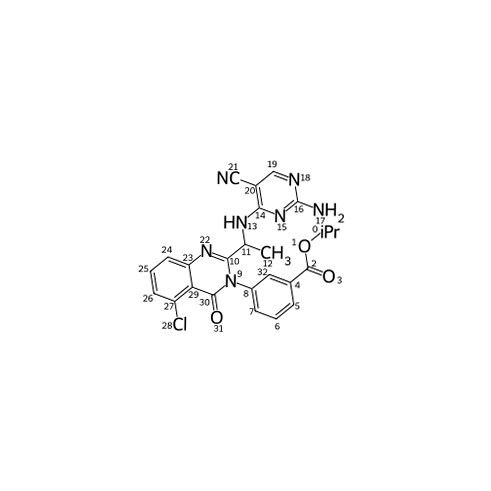 CC(C)OC(=O)c1cccc(-n2c(C(C)Nc3nc(N)ncc3C#N)nc3cccc(Cl)c3c2=O)c1